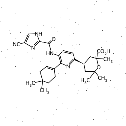 CC1(C)CC=C(c2nc([C@@H]3CC(C)(C)O[C@@](C)(C(=O)O)C3)ccc2NC(=O)c2nc(C#N)c[nH]2)CC1